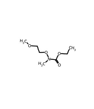 CCOC(=O)N(C)OCCOC